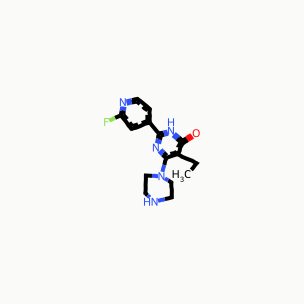 CCc1c(N2CCNCC2)nc(-c2ccnc(F)c2)[nH]c1=O